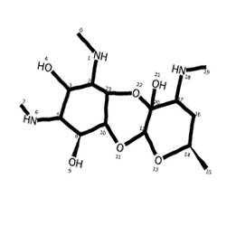 CNC1C(O)C(NC)[C@H](O)C2OC3O[C@H](C)CC(NC)C3(O)OC12